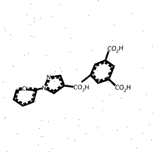 Cc1cc(C(=O)O)cc(C(=O)O)c1.O=C(O)c1cnn(-c2ccccc2)c1